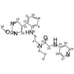 CCCN(CCNc1ccccc1-c1cnc(OC)nc1)C(=O)CNc1ccncc1